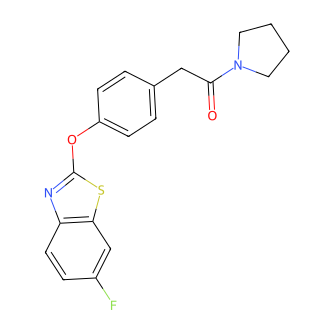 O=C(Cc1ccc(Oc2nc3ccc(F)cc3s2)cc1)N1CCCC1